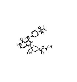 CC(C#N)OC(=O)N1CCC(CC#N)(n2nc(Nc3ccc(S(=O)(=O)N(C)C)cc3)c3c(=O)[nH]ccc32)CC1